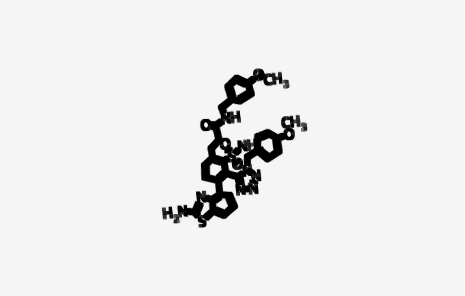 COc1ccc(CNC(=O)CCc2ccc(-c3cccc4sc(N)nc34)c(-c3nnnn3Cc3ccc(OC)cc3)c2S(N)(=O)=O)cc1